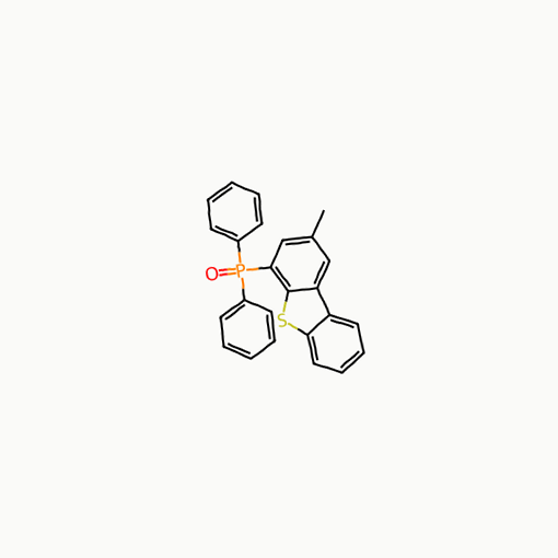 Cc1cc(P(=O)(c2ccccc2)c2ccccc2)c2sc3ccccc3c2c1